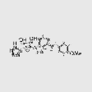 COc1ccc(CNc2ncnc3c2ncn3[C@@H]2O[C@H](c3nnn[nH]3)C(O)C2O)cc1